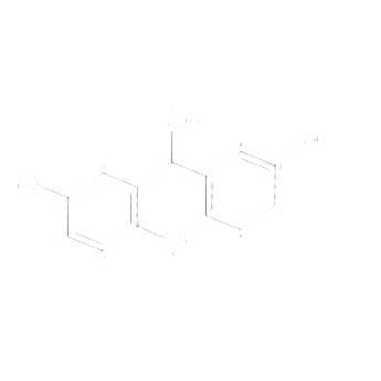 O=CC(c1cccc(O)c1)c1cc(O)ccc1O